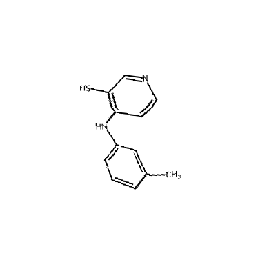 Cc1cccc(Nc2ccncc2S)c1